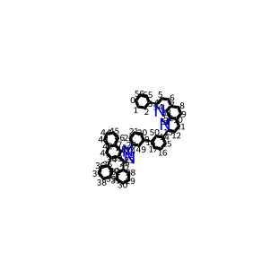 c1ccc(-c2ccc3ccc4ccc(-c5cccc(-c6cccc(-n7nc(-c8ccccc8)c8c(-c9ccccc9)cc9ccccc9c87)c6)c5)nc4c3n2)cc1